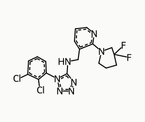 FC1(F)CCCN(c2ncccc2CNc2nnnn2-c2cccc(Cl)c2Cl)C1